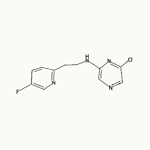 Fc1ccc(CCNc2cncc(Cl)n2)nc1